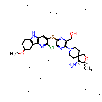 COC1CCc2[nH]c3cc(Sc4cnc(N5CCC6(CC5)CO[C@@H](C)[C@H]6N)c(CO)n4)c(Cl)nc3c2C1